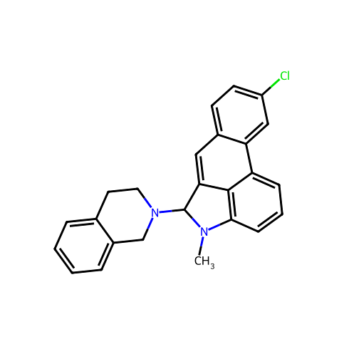 CN1c2cccc3c2c(cc2ccc(Cl)cc23)C1N1CCc2ccccc2C1